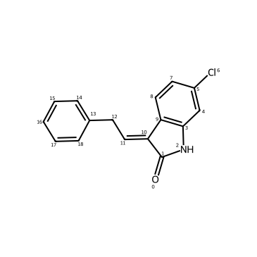 O=C1Nc2cc(Cl)ccc2/C1=C\Cc1ccccc1